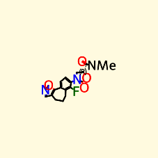 CNC(=O)[C@H]1CN(c2ccc3c(c2F)CCCc2cnoc2-3)C(=O)O1